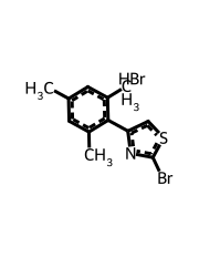 Br.Cc1cc(C)c(-c2csc(Br)n2)c(C)c1